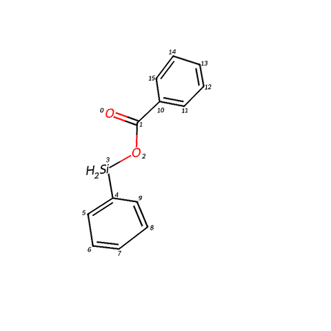 O=C(O[SiH2]c1ccccc1)c1ccccc1